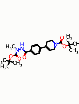 CN(NC(=O)c1ccc(C2=CCN(C(=O)OC(C)(C)C)CC2)cc1)C(=O)OC(C)(C)C